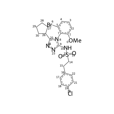 COc1cccc(Br)c1-n1c(NS(=O)(=O)CCc2ccc(Cl)cc2)nnc1C1CCCC1